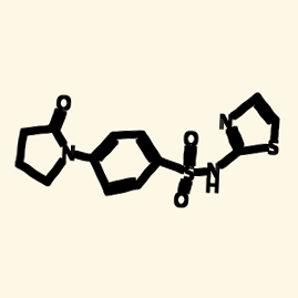 O=C1CCCN1c1ccc(S(=O)(=O)Nc2nccs2)cc1